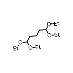 CCOC(CCCC(OCC)OCC)OCC